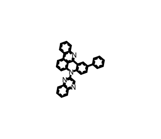 c1ccc(-c2ccc3c(c2)-c2nc4ccccc4c4cccc(c24)N3c2cnc3ccccc3n2)cc1